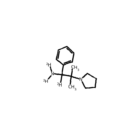 [2H]N([2H])C([2H])(c1ccccc1)C(C)(C)N1CCCC1